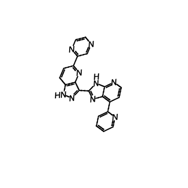 c1ccc(-c2ccnc3[nH]c(-c4n[nH]c5ccc(-c6cnccn6)nc45)nc23)nc1